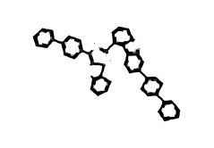 c1ccc(-c2ccc(C3=C4Sc5ccccc5C4NC(c4cccc5oc6cc(-c7ccc(-c8ccccc8)cc7)ccc6c45)=N3)cc2)cc1